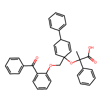 CC(OC1(COc2ccccc2C(=O)c2ccccc2)C=CC(c2ccccc2)C=C1)(C(=O)O)c1ccccc1